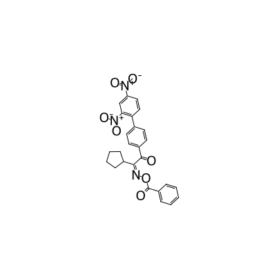 O=C(O/N=C(\C(=O)c1ccc(-c2ccc([N+](=O)[O-])cc2[N+](=O)[O-])cc1)C1CCCC1)c1ccccc1